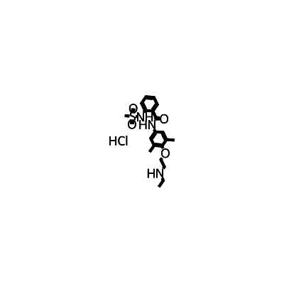 CCNCCOc1c(C)cc(NC(=O)c2ccccc2NS(C)(=O)=O)cc1C.Cl